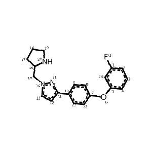 Fc1cccc(Oc2ccc(-c3ccn(CC4CCCN4)n3)cc2)c1